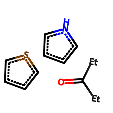 CCC(=O)CC.c1cc[nH]c1.c1ccsc1